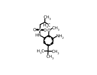 COc1c(N)cc(C(C)(C)C)cc1NS(=O)(=O)CC(C)C